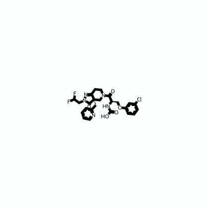 O=C(O)N[C@H](COc1cccc(Cl)c1)C(=O)N1CCC2=NN(CC(F)F)C(=O)[C@]2(Cc2ccccn2)C1